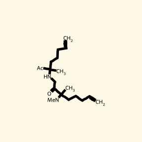 C=CCCCC(C)(NCC(=O)C(C)(CCCC=C)NC)C(C)=O